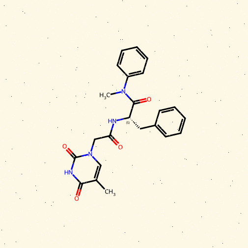 Cc1cn(CC(=O)N[C@@H](Cc2ccccc2)C(=O)N(C)c2ccccc2)c(=O)[nH]c1=O